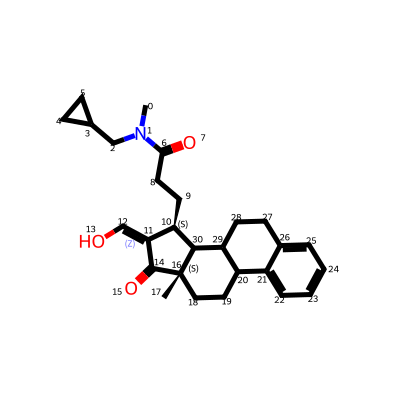 CN(CC1CC1)C(=O)CC[C@@H]1/C(=C/O)C(=O)[C@@]2(C)CCC3c4ccccc4CCC3C12